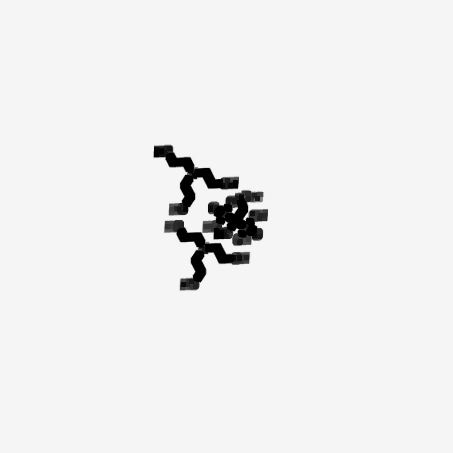 CCCCCCCCCCCC(O)(P(=O)(O)O)P(=O)(O)O.OCCN(CCO)CCO.OCCN(CCO)CCO